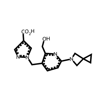 O=C(O)c1cnn(Cc2ccc(N3CC4(CC4)C3)nc2CO)c1